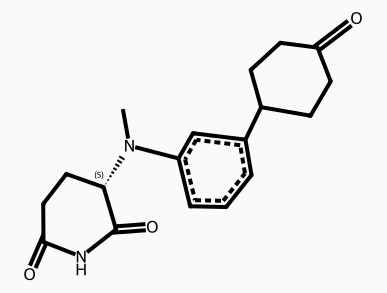 CN(c1cccc(C2CCC(=O)CC2)c1)[C@H]1CCC(=O)NC1=O